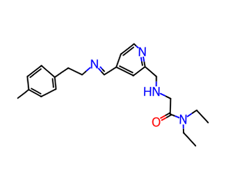 CCN(CC)C(=O)CNCc1cc(C=NCCc2ccc(C)cc2)ccn1